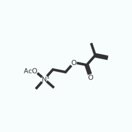 C=C(C)C(=O)OCC[N+](C)(C)OC(C)=O